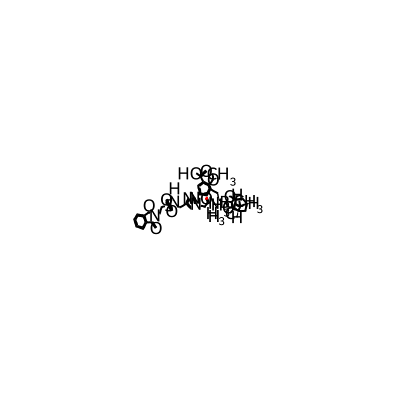 COc1c(C[C@H](NC(=O)Cn2cc(CNS(=O)(=O)CCN3C(=O)c4ccccc4C3=O)nn2)B2O[C@@H]3C[C@@H]4C[C@@H](C4(C)C)[C@]3(C)O2)cccc1C(=O)O